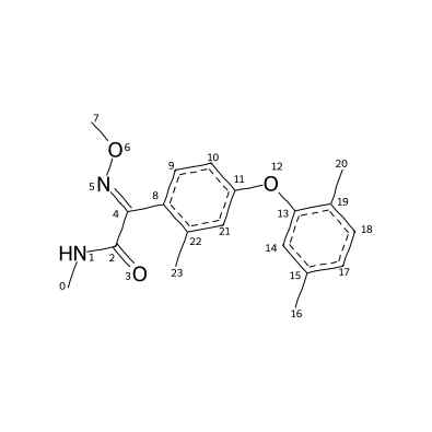 CNC(=O)/C(=N/OC)c1ccc(Oc2cc(C)ccc2C)cc1C